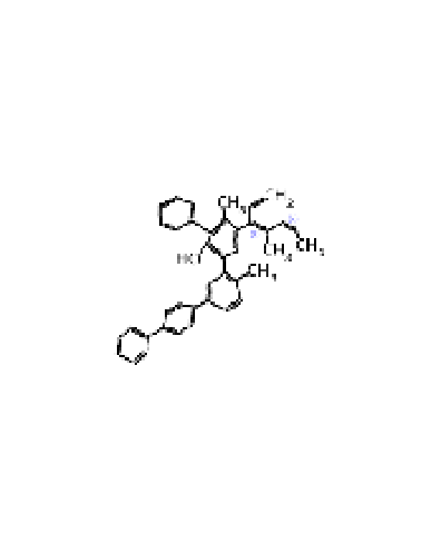 C=C/C(=C(C)\C=C/C)c1cc(-c2cc(-c3ccc(-c4ccccc4)cc3)ccc2C)c(O)c(-c2ccccc2)c1C